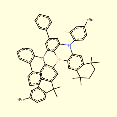 Cc1cc(C(C)(C)C)ccc1N1c2cc3c(cc2B2c4cc5c(cc4N(c4ccccc4-c4ccccc4)c4cc(-c6ccccc6)cc1c42)-c1cc(C(C)(C)C)ccc1C5(C)C)C(C)(C)CCC3(C)C